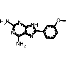 COc1cccc(-c2nc3c(N)nc(N)nc3[nH]2)c1